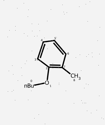 CCCCOc1[c]cccc1C